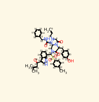 C=CCN1CC(=O)N2C(Cc3ccc(O)cc3)C(=O)N(C(c3cccc4c(C(=O)C=C(C)C)c[nH]c34)S(=O)(=O)c3ccc(C)cc3)CC2N1C(=O)NCc1ccccc1